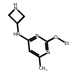 CCOc1nc(C)cc(NC2CNC2)n1